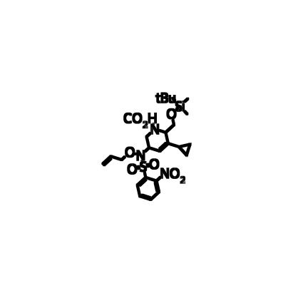 C=CCON(C1C=C(C2CC2)C(CO[Si](C)(C)C(C)(C)C)N(C(=O)O)C1)S(=O)(=O)c1ccccc1[N+](=O)[O-]